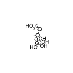 Cc1cc(-c2cccc(C(=O)O)c2)ccc1O[C@H]1OC(CO)[C@@H](O)C(O)C1O